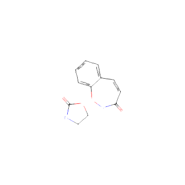 O=C1C=Cc2ccccc2ON1.O=C1NCCO1